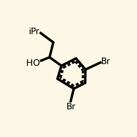 CC(C)CC(O)c1cc(Br)cc(Br)c1